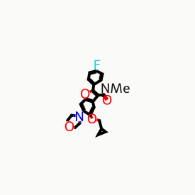 CNC(=O)c1c(-c2ccc(F)cc2)oc2cc(N3CCOCC3)c(OCC3CC3)cc12